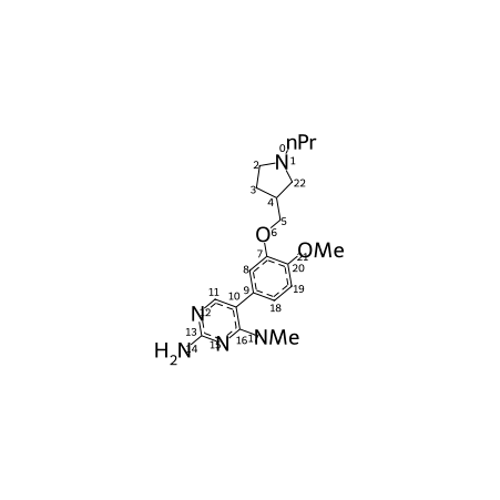 CCCN1CCC(COc2cc(-c3cnc(N)nc3NC)ccc2OC)C1